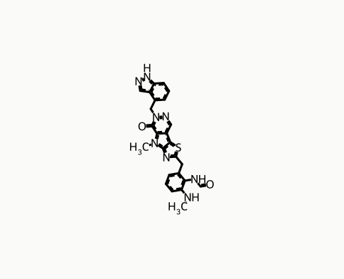 CNc1cccc(Cc2nc3c(s2)c2cnn(Cc4cccc5[nH]ncc45)c(=O)c2n3C)c1NC=O